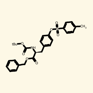 Cc1ccc(S(=O)(=O)Oc2ccc(C[C@H](NC(=O)OC(C)(C)C)C(=O)OCc3ccccc3)cc2)cc1